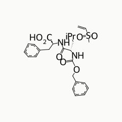 C=CS(C)(=O)=O.CC(C)C[C@H](NC(=O)OCc1ccccc1)C(=O)N[C@@H](Cc1ccccc1)C(=O)O